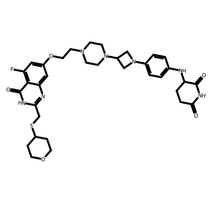 O=C1CCC(Nc2ccc(N3CC(N4CCN(CCOc5cc(F)c6c(=O)[nH]c(CSC7CCOCC7)nc6c5)CC4)C3)cc2)C(=O)N1